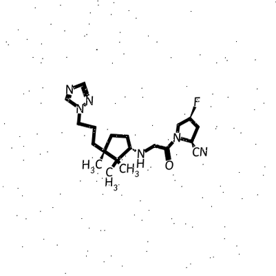 CC1(C)[C@@H](NCC(=O)N2C[C@@H](F)C[C@H]2C#N)CC[C@@]1(C)CCCn1cncn1